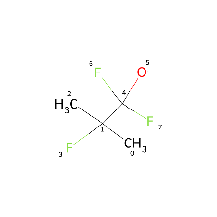 CC(C)(F)C([O])(F)F